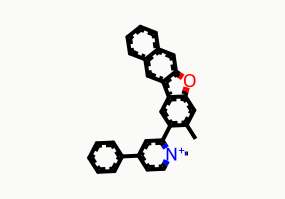 Cc1cc2oc3cc4ccccc4cc3c2cc1-c1cc(-c2ccccc2)cc[n+]1C